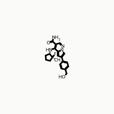 C[C@]1(F)CCC[C@H]1Nc1c(C(N)=O)cnn2cc(-c3ccc(CO)cc3)cc12